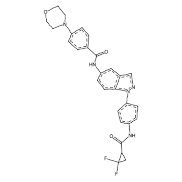 O=C(Nc1ccc2c(cnn2-c2ccc(NC(=O)C3CC3(F)F)cc2)c1)c1ccc(N2CCOCC2)cc1